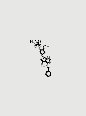 NS(=O)(=O)OC[C@@H]1C[C@@H](n2cc(F)c3c(NCc4ccccc4)ncnc32)CC1O